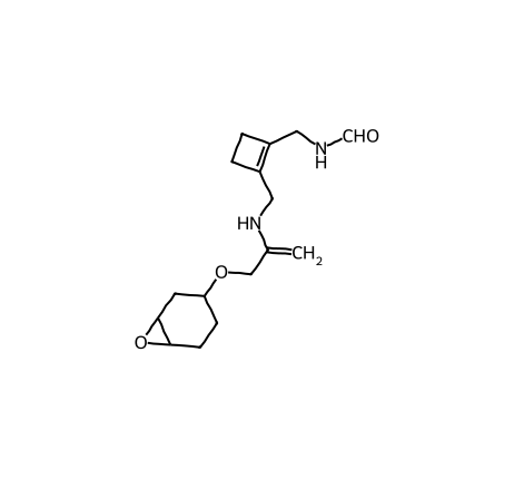 C=C(COC1CCC2OC2C1)NCC1=C(CNC=O)CC1